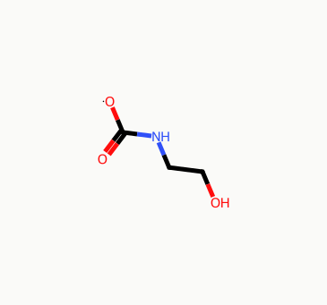 [O]C(=O)NCCO